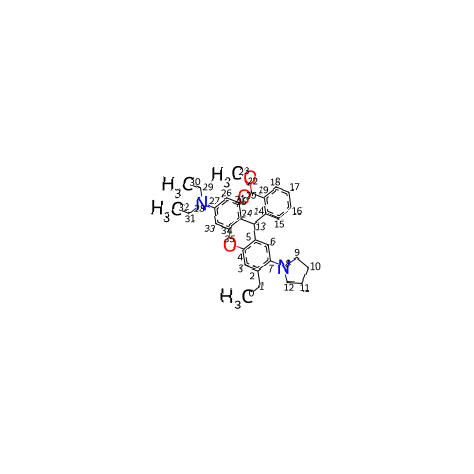 CCc1cc2c(cc1N1CCCC1)C(c1ccccc1C(=O)OC)c1ccc(N(CC)CC)cc1O2